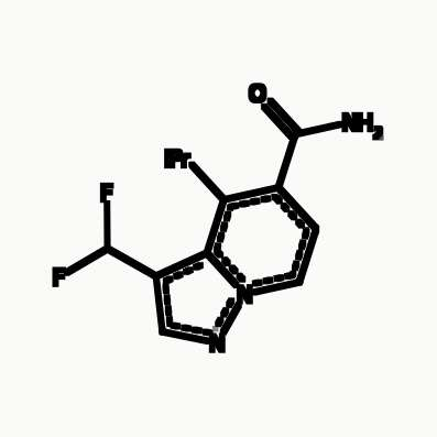 CC(C)c1c(C(N)=O)ccn2ncc(C(F)F)c12